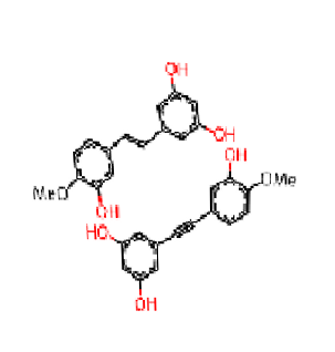 COc1ccc(C#Cc2cc(O)cc(O)c2)cc1O.COc1ccc(C=Cc2cc(O)cc(O)c2)cc1O